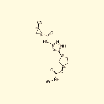 CC(C)NC(=O)O[C@@H]1CC[C@H](c2cc(NC(=O)[C@@H]3C[C@H]3C#N)n[nH]2)C1